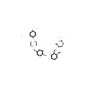 CCOc1cc(C#N)ccc1N1CCN(Cc2ccc(COc3cccc4c3CN([C@H]3CCC(=O)NC3=O)C4=O)c(F)c2)CC1